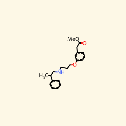 COC(=O)Cc1cccc(OCCCNCC(C)c2ccccc2)c1